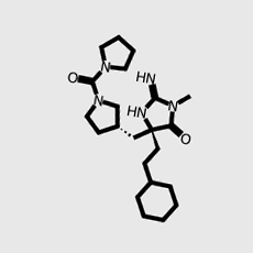 CN1C(=N)N[C@@](CCC2CCCCC2)(C[C@@H]2CCN(C(=O)N3CCCC3)C2)C1=O